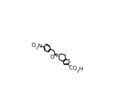 O=C(O)c1cc2c(s1)CCN(C(=O)Cc1ccc([N+](=O)[O-])cc1)C2